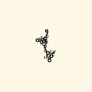 C[C@@H]1Cc2c([nH]c3ccccc23)[C@@H](c2c(F)cc(OCCN3CC(CF)C3C[C@@H]3Cc4c([nH]c5ccccc45)[C@@H](c4c(F)cc(OCCN5CCCC5)cc4F)N3CC(C)(C)F)cc2F)N1CC(C)(C)F